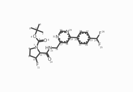 CC(C)(C)OC(=O)N1CCC(F)C1C(=O)NCc1cc(-c2ccc(C(F)F)cc2)ncn1